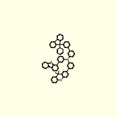 CC1(C)c2ccccc2Sc2ccc(-c3cccc(N(c4cccc(-c5cccc(C6(C7C=CC=CC7)c7ccccc7-c7ccccc76)c5)c4)c4cccc(-c5cccc6c5sc5ccccc56)c4)c3)cc21